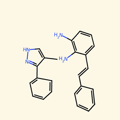 Cc1c[nH]nc1-c1ccccc1.Nc1cccc(C=Cc2ccccc2)c1N